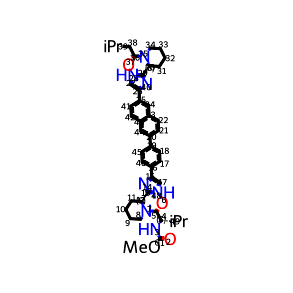 COC(=O)N[C@H](C(=O)N1CCCC[C@H]1c1nc(-c2ccc(-c3ccc4cc(-c5c[nH]c([C@@H]6CCCCN6C(=O)CC(C)C)n5)ccc4c3)cc2)c[nH]1)C(C)C